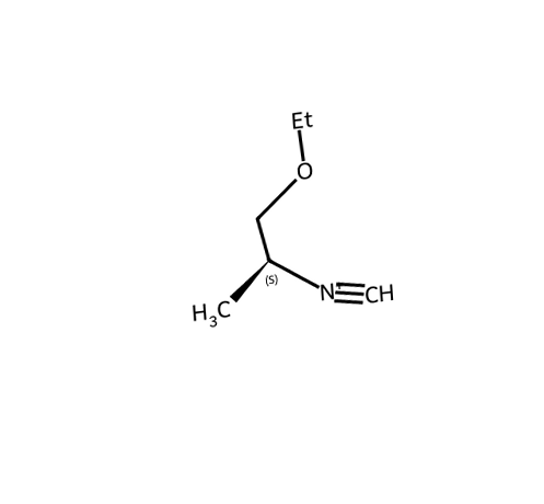 C#[N+][C@@H](C)COCC